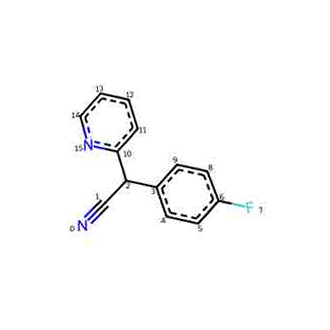 N#CC(c1ccc(F)cc1)c1ccccn1